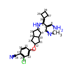 C/N=C\C(=C/N)C(NC1CC2CC(Oc3ccc(C#N)c(Cl)c3)CC2C1)=C1CCC1